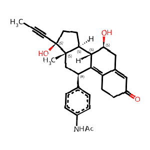 CC#C[C@]1(O)CC[C@H]2[C@H]3C(=C4CCC(=O)C=C4C[C@@H]3O)[C@@H](c3ccc(NC(C)=O)cc3)C[C@@]21C